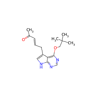 CC(=O)C=CCc1c[nH]c2ncnc(OCC(C)(C)C)c12